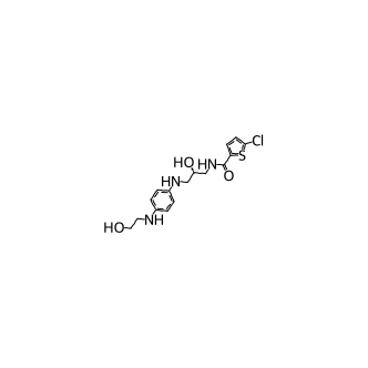 O=C(NC[C@H](O)CNc1ccc(NCCO)cc1)c1ccc(Cl)s1